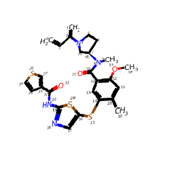 C=CC(=C)N1CC[C@@H](N(C)C(=O)c2cc(Sc3cnc(NC(=O)c4ccsc4)s3)c(C)cc2OC)C1